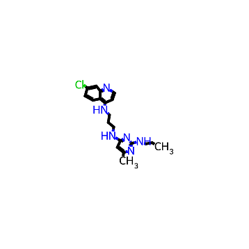 CCCNc1nc(C)cc(NCCCNc2ccnc3cc(Cl)ccc23)n1